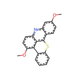 COc1ccc2c3c4c(c(OC)ccc4nc2c1)-c1ccccc1S3